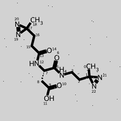 CC1(CCNC(=O)[C@H](CC(=O)O)NC(=O)CCC2(C)N=N2)N=N1